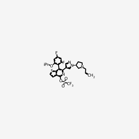 C=CCN1CC[C@H](n2cc(-c3nc(OS(=O)(=O)C(F)(F)F)c4ccsc4c3-c3c(F)cc(F)cc3OC(C)C)cn2)C1